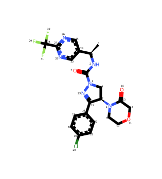 C[C@@H](NC(=O)N1C[C@@H](N2CCOCC2=O)C(c2ccc(Cl)cc2)=N1)c1cnc(C(F)(F)F)nc1